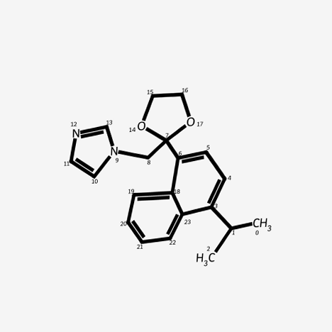 CC(C)c1ccc(C2(Cn3ccnc3)OCCO2)c2ccccc12